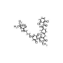 COC(=O)[C@H](Cc1ccc(NC(=O)c2c(Cl)cccc2Cl)cc1)NC(=O)c1c(Cl)cc(OCCCNC(=O)OC(C)(C)C)cc1Cl